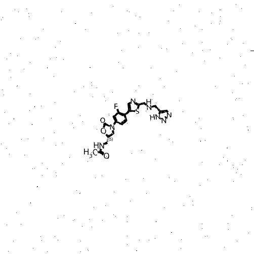 CC(=O)NC[C@H]1CN(c2ccc(-c3cnc(CNCc4cnn[nH]4)s3)c(F)c2)C(=O)O1